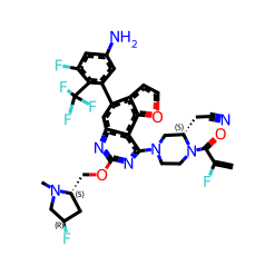 C=C(F)C(=O)N1CCN(c2nc(OC[C@@H]3C[C@@H](F)CN3C)nc3cc(-c4cc(N)cc(F)c4C(F)(F)F)c4ccoc4c23)C[C@@H]1CC#N